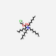 CCCCCCCC[N+](CCCCCCCC)(CCCCCCCC)C(CCCCCC)C(O)OCC.[Cl-]